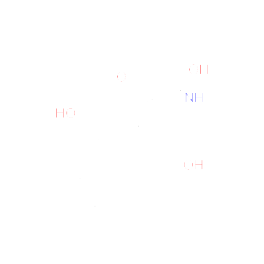 O=C(NO)c1c(O)cccc1O